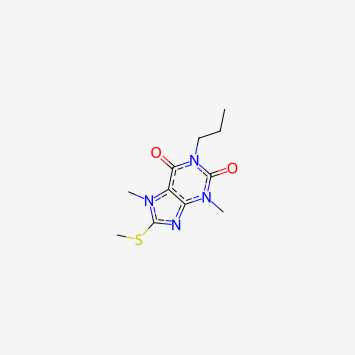 CCCn1c(=O)c2c(nc(SC)n2C)n(C)c1=O